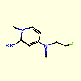 CN(CCF)C1=CC(N)N(C)C=C1